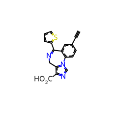 C#Cc1ccc2c(c1)C(c1cccs1)=NCc1c(C(=O)O)ncn1-2